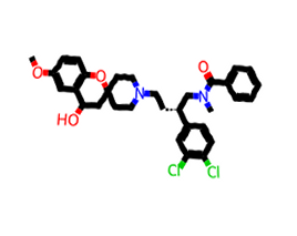 COc1ccc2c(c1)C(O)CC1(CCN(CC[C@H](CN(C)C(=O)c3ccccc3)c3ccc(Cl)c(Cl)c3)CC1)O2